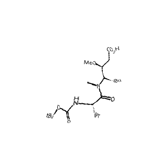 CC[C@H](C)C([C@H](CC(=O)O)OC)N(C)C(=O)[C@@H](NC(=O)OC(C)(C)C)C(C)C